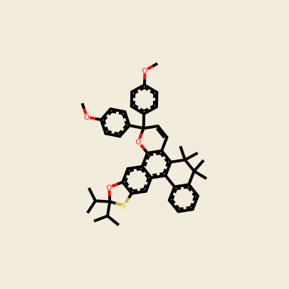 COc1ccc(C2(c3ccc(OC)cc3)C=Cc3c4c(c5cc6c(cc5c3O2)OC(C(C)C)(C(C)C)S6)-c2ccccc2C(C)(C)C4(C)C)cc1